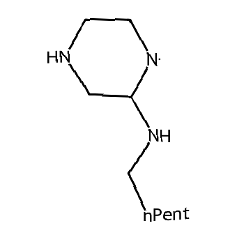 CCCCCCNC1CNCC[N]1